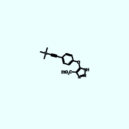 CCOC(=O)c1nn[nH]c1Oc1ccc(C#C[Si](C)(C)C)cc1